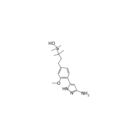 COc1cc(CCC(C)(C)[Si](C)(C)O)ccc1-c1cc(N)n[nH]1